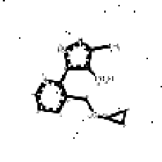 CCOC(=O)c1c(C)n[nH]c1-c1ncccc1COC1CC1